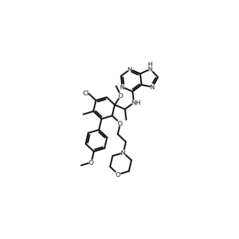 COc1ccc(C2=C(C)C(Cl)=CC(OC)(C(C)Nc3ncnc4[nH]cnc34)C2OCCN2CCOCC2)cc1